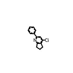 Clc1cc(-c2ccccc2)nc2c1CCC2